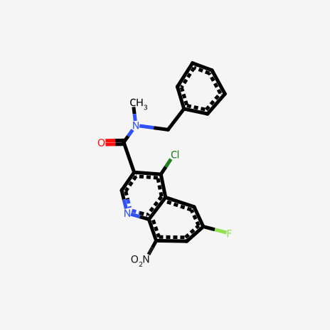 CN(Cc1ccccc1)C(=O)c1cnc2c([N+](=O)[O-])cc(F)cc2c1Cl